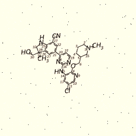 CN1CCCC(COc2ncc(Cl)cc2Nc2nccc(-c3cc(C#N)c4c(c3)[C@@](C)(CO)CN4)n2)C1